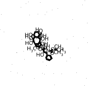 CC1=C2[C@@H](O)C(=O)[C@@]3(C)[C@H]([C@H](O)[C@](O)(C[C@@H]1OC(=O)[C@H](O)[C@@H](NC(=O)OC(C)(C)C)c1ccccc1)C2(C)C)[C@]1(O)CO[C@@H]1C[C@@H]3O